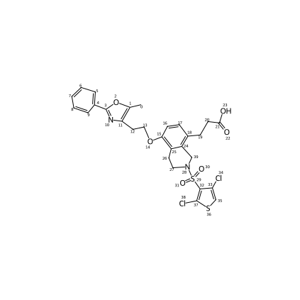 Cc1oc(-c2ccccc2)nc1CCOc1ccc(CCC(=O)O)c2c1CCN(S(=O)(=O)c1c(Cl)csc1Cl)C2